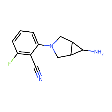 N#Cc1c(F)cccc1N1CC2C(N)C2C1